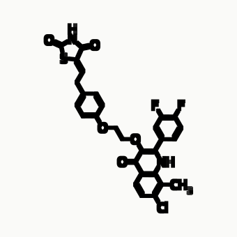 Cc1c(Cl)ccc2c(=O)c(OCCOc3ccc(CC=C4SC(=O)NC4=O)cc3)c(-c3ccc(F)c(F)c3)[nH]c12